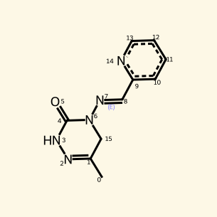 CC1=NNC(=O)N(/N=C/c2ccccn2)C1